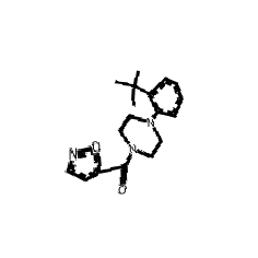 CC(C)(C)c1ccccc1N1CCN(C(=O)c2ccno2)CC1